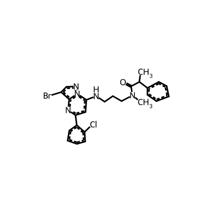 CC(C(=O)N(C)CCCNc1cc(-c2ccccc2Cl)nc2c(Br)cnn12)c1ccccc1